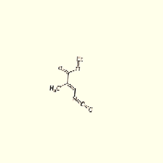 CCOC(=O)C(C)=CN=C=O